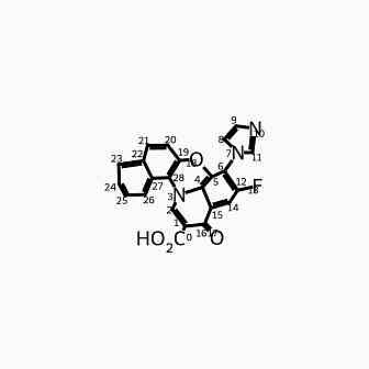 O=C(O)c1cn2c3c(c(-n4ccnc4)c(F)cc3c1=O)Oc1ccc3ccccc3c1-2